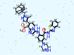 COC(=O)c1c(-c2cnn(CC34CC5CC(CC(C5)C3)C4)c2C)ccn2c(Nc3ccc(N4CCNCC4)cc3C(=O)Nc3nc4ccccc4s3)cnc12